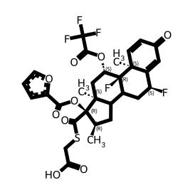 C[C@@H]1CC2C3C[C@H](F)C4=CC(=O)C=C[C@]4(C)[C@@]3(F)[C@@H](OC(=O)C(F)(F)F)C[C@]2(C)[C@@]1(OC(=O)c1ccco1)C(=O)SCC(=O)O